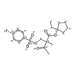 CCC1(OC(=O)C(C)(COS(=O)(=O)c2ccc(F)cc2)C(C)=O)CCCC1